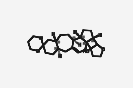 OC12CCOC1[C@H]1CC[C@H]3[C@@H]4CC[C@H]5CC6(CC[C@@H]5CC4=CC[C@]132)OCCCO6